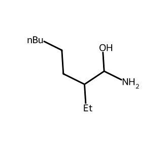 CCCCCCC(CC)C(N)O